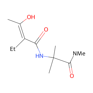 CC/C(C(=O)NC(C)(C)C(=O)NC)=C(\C)O